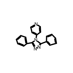 c1ccc(-c2nnc(-c3ccccc3)n2-c2ccncc2)cc1